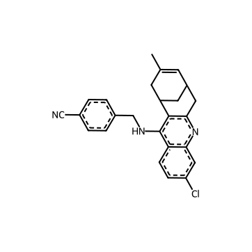 CC1=CC2Cc3nc4cc(Cl)ccc4c(NCc4ccc(C#N)cc4)c3C(C1)C2